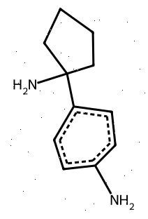 Nc1ccc(C2(N)CCCC2)cc1